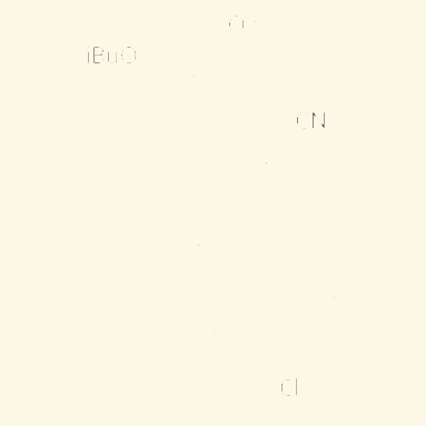 CC(C)COC(=O)C=C(C#N)c1ccc(Cl)cc1